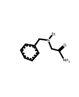 CCN(CC(N)=O)Cc1ccccc1